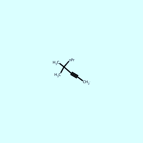 [CH2]C#CC(C)(C)CCC